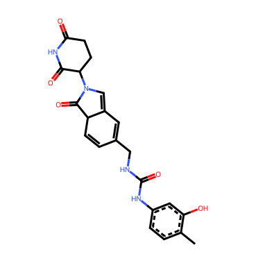 Cc1ccc(NC(=O)NCC2=CC3=CN(C4CCC(=O)NC4=O)C(=O)C3C=C2)cc1O